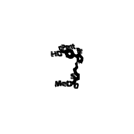 CCCCCC(O)c1ccc(C2C(Br)CC[C@@H]2CCCc2ccc(C(=O)OC)s2)cc1